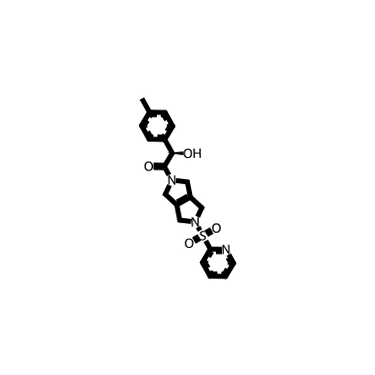 Cc1ccc([C@@H](O)C(=O)N2CC3=C(C2)CN(S(=O)(=O)c2ccccn2)C3)cc1